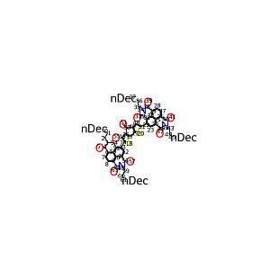 CCCCCCCCCCCCC1C(=O)c2ccc3c4c(cc(-c5cc6c(s5)-c5sc(-c7cc8c9c(ccc%10c9c7C(=O)N(CCCCCCCCCCCC)C%10=O)C(=O)N(CCCCCCCCCCCC)C8=O)cc5C6=O)c(c24)C1=O)C(=O)N(CCCCCCCCCCCC)C3=O